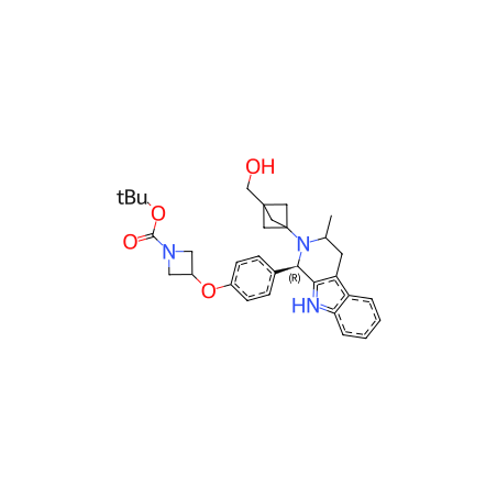 CC1Cc2c([nH]c3ccccc23)[C@@H](c2ccc(OC3CN(C(=O)OC(C)(C)C)C3)cc2)N1C12CC(CO)(C1)C2